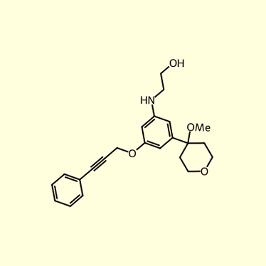 COC1(c2cc(NCCO)cc(OCC#Cc3ccccc3)c2)CCOCC1